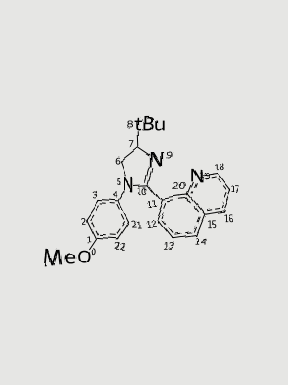 COc1ccc(N2CC(C(C)(C)C)N=C2c2cccc3cccnc23)cc1